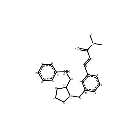 CN(C)C(=O)C=Cc1cccc(CN2CCCC2CNc2ccccc2)c1